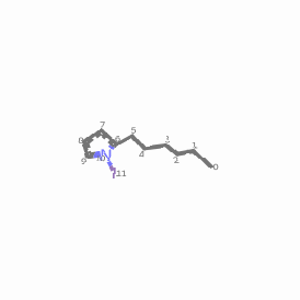 CCCCCCc1cccn1I